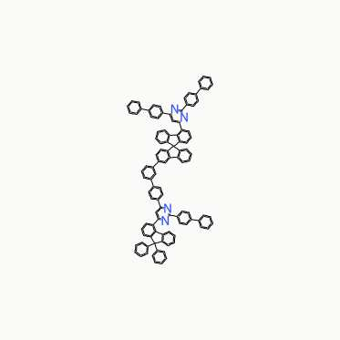 c1ccc(-c2ccc(-c3cc(-c4cccc5c4-c4ccccc4C54c5ccccc5-c5cc(-c6cccc(-c7ccc(-c8cc(-c9cccc%10c9-c9ccccc9C%10(c9ccccc9)c9ccccc9)nc(-c9ccc(-c%10ccccc%10)cc9)n8)cc7)c6)ccc54)nc(-c4ccc(-c5ccccc5)cc4)n3)cc2)cc1